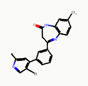 CCc1cnc(C)cc1-c1cccc(C2=Nc3ccc(C(F)(F)F)cc3NC(=O)C2)c1